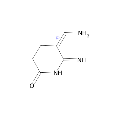 N=C1NC(=O)CC/C1=C/N